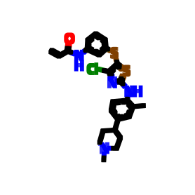 C=CC(=O)Nc1cccc(Sc2sc(Nc3ccc(C4CCN(C)CC4)cc3C)nc2Cl)c1